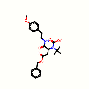 COc1ccc(CCNC(=O)[C@H](CC(=O)OCc2ccccc2)N(C(=O)O)C(C)(C)C)cc1